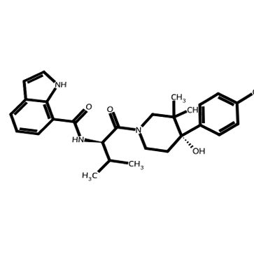 CC(C)[C@@H](NC(=O)c1cccc2cc[nH]c12)C(=O)N1CC[C@](O)(c2ccc(Cl)cc2)C(C)(C)C1